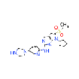 CCS(=O)(=O)c1cc2cnc(Nc3ccc(N4CCNCC4)cn3)nc2n1C1CCCC1